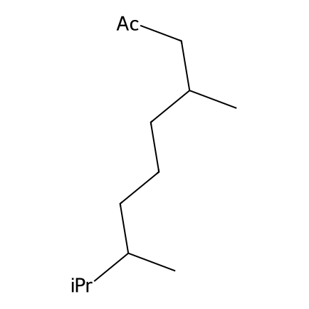 CC(=O)CC(C)CCCC(C)C(C)C